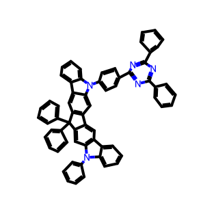 c1ccc(-c2nc(-c3ccccc3)nc(-c3ccc(-n4c5ccccc5c5cc6c(cc54)-c4cc5c7ccccc7n(-c7ccccc7)c5cc4C6(c4ccccc4)c4ccccc4)cc3)n2)cc1